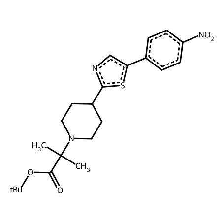 CC(C)(C)OC(=O)C(C)(C)N1CCC(c2ncc(-c3ccc([N+](=O)[O-])cc3)s2)CC1